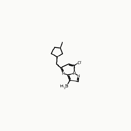 Bc1cnn2c(Cl)cc(CC3CCC(C)C3)nc12